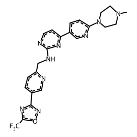 CN1CCN(c2ccc(-c3ccnc(NCc4ccc(-c5noc(C(F)(F)F)n5)cn4)n3)cn2)CC1